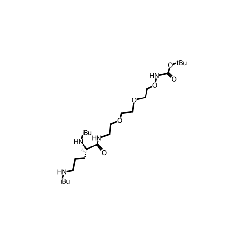 CCC(C)NCCC[C@H](NC(C)CC)C(=O)NCCOCCOCCONC(=O)OC(C)(C)C